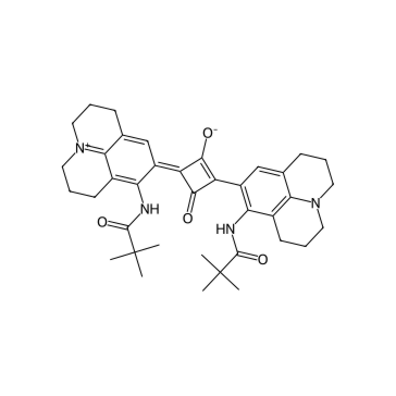 CC(C)(C)C(=O)Nc1c(C2=C([O-])/C(=c3\cc4c5c(c3NC(=O)C(C)(C)C)CCC[N+]=5CCC4)C2=O)cc2c3c1CCCN3CCC2